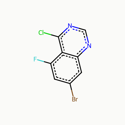 Fc1cc(Br)cc2ncnc(Cl)c12